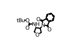 CC(C)(C)OC(=O)N[C@H]1COCC1N1C(=O)c2ccccc2C1=O